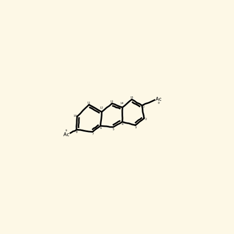 CC(=O)c1ccc2cc3cc(C(C)=O)ccc3cc2c1